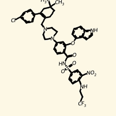 CC1(C)CCC(CN2CCN(c3ccc(C(=O)NS(=O)(=O)c4ccc(NCCC(F)(F)F)c([N+](=O)[O-])c4)c(Oc4cccc5[nH]ccc45)c3)CC2)=C(c2ccc(Cl)cc2)C1